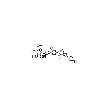 COc1cc(-n2cnc3cc(-c4ccc(Cl)cc4)sc3c2=O)ccc1OCC(C)O[C@H]1O[C@H](CO)[C@@H](O)[C@@H](O)[C@@H]1O